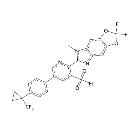 CCS(=O)(=O)c1cc(-c2ccc(C3(C(F)(F)F)CC3)cc2)cnc1-c1nc2cc3c(cc2n1C)OC(F)(F)O3